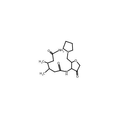 CC(CC(N)=O)C(C)CC(=O)NC1C(=O)COC1CN1CCCC1